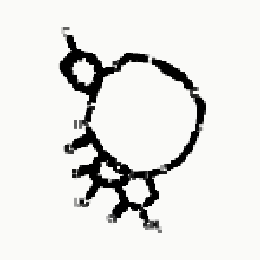 CN1CN2CCCCCC/C=C\CCOc3cc(F)ccc3CNC(=O)c3cn2c(c(O)c3=O)C1=O